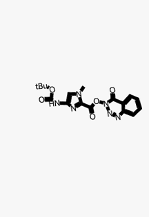 Cn1cc(NC(=O)OC(C)(C)C)nc1C(=O)On1nnc2ccccc2c1=O